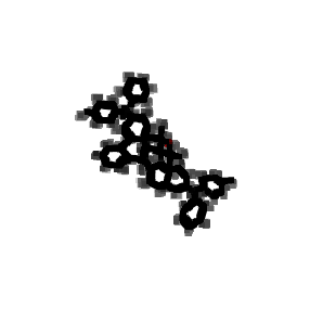 Cc1ccc(N(c2ccccc2)c2ccc3c4c(ccc3c2)-c2c(c3ccc(N(c5ccccc5)c5ccc(C)cc5)cc3c3ccccc23)C4(C(C)(C)C)C(C)(C)C)cc1